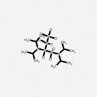 CC(C)N(C(C)C)[Si](Cl)(Cl)[Si](Cl)(N(C(C)C)C(C)C)[Si](Cl)(Cl)[Si](Cl)(Cl)Cl